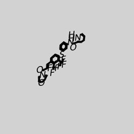 O=C(Nc1cccc(Sc2ccc(/C=C/C(=O)N3CCOCC3)c(C(F)(F)F)c2C(F)(F)F)c1)C1CCCCN1